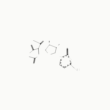 CC(=O)OC(C(C)=O)(C(C)=O)[C@H]1O[C@@H](n2ccc(N)nc2=O)[C@H](O)[C@@H]1O